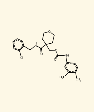 Cc1ccc(NC(=O)OCC2(C(=O)NCc3ccccc3Cl)CCOCC2)cc1C